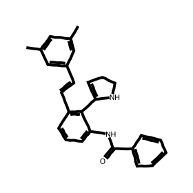 Cc1cc(C)cc(/C=C/c2cccc(NC(=O)c3ccccc3)c2C2=CCCN2)c1